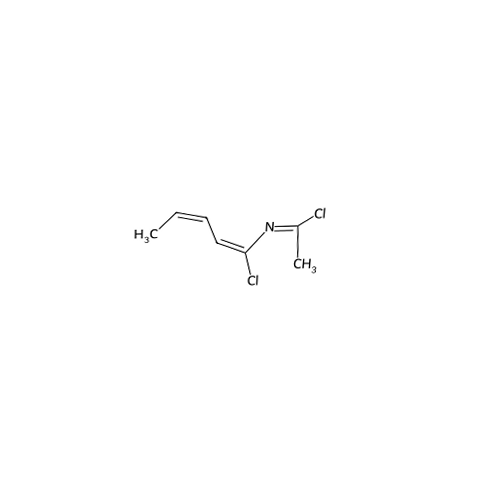 C\C=C/C=C(Cl)\N=C(/C)Cl